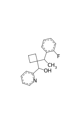 CC(c1ccccc1F)C1(C(O)c2ccccn2)CCC1